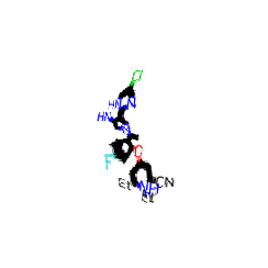 C=C(c1ccc(F)cc1OC(CCC#N)CC(CC)NCC)N1CC(=N)/C(=C2/N=CC(Cl)=CN2)C1